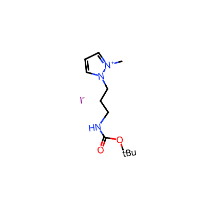 C[n+]1cccn1CCCNC(=O)OC(C)(C)C.[I-]